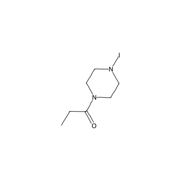 CCC(=O)N1CCN(I)CC1